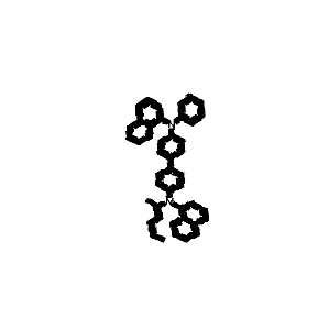 C/C=C\C=C(/C)N(c1ccc(-c2ccc(N(c3ccccc3)c3cccc4ccccc34)cc2)cc1)c1cccc2ccccc12